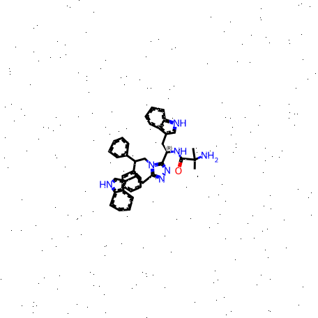 CC(C)(N)C(=O)N[C@H](Cc1c[nH]c2ccccc12)c1nnc(CCc2c[nH]c3ccccc23)n1CC(c1ccccc1)c1ccccc1